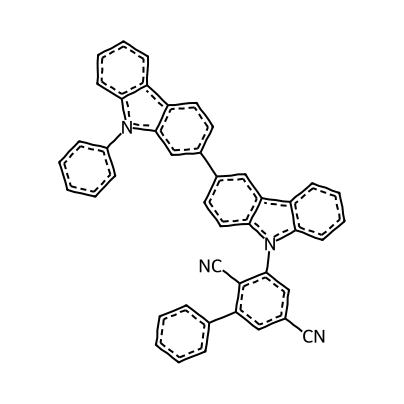 N#Cc1cc(-c2ccccc2)c(C#N)c(-n2c3ccccc3c3cc(-c4ccc5c6ccccc6n(-c6ccccc6)c5c4)ccc32)c1